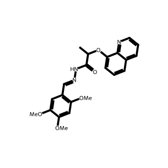 COc1cc(OC)c(OC)cc1/C=N/NC(=O)C(C)Oc1cccc2cccnc12